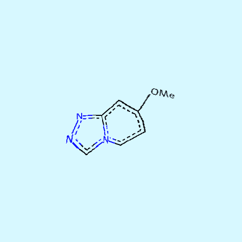 COc1ccn2cnnc2c1